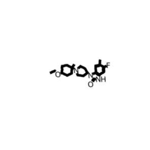 CCOC1CCC(C)(N2CCC(n3c(=O)[nH]c4cc(F)c(C)cc43)CC2)CC1